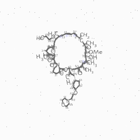 CO[C@H]1C(=O)[C@H](C)C[C@H](C)/C=C/C=C/C=C(\C)C(OCCO)C[C@@H]2CC[C@@H](C)[C@@](O)(O2)C(=O)C(=O)N2CCCCC2C(=O)O[C@H]([C@H](C)C[C@H]2CC[C@H](OCCN3CCOCC3)CC2)CC(=O)[C@H](C)/C=C(\C)[C@H]1O